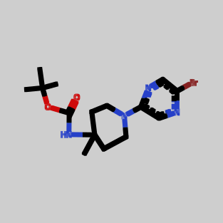 CC1(NC(=O)OC(C)(C)C)CCN(c2cnc(Br)cn2)CC1